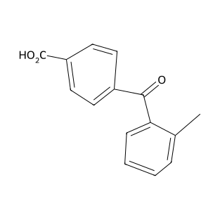 Cc1ccccc1C(=O)c1ccc(C(=O)O)cc1